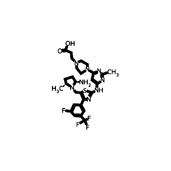 Cc1nc(Nc2nc(-c3cc(F)cc(C(F)(F)F)c3)c(CN3[C@H](C)CC[C@H]3N)s2)cc(N2CCN(CCC(=O)O)CC2)n1